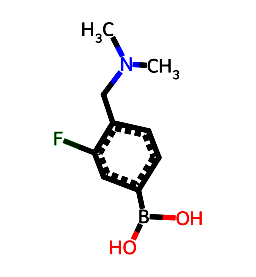 CN(C)Cc1ccc(B(O)O)cc1F